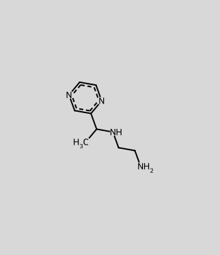 CC(NCCN)c1cnccn1